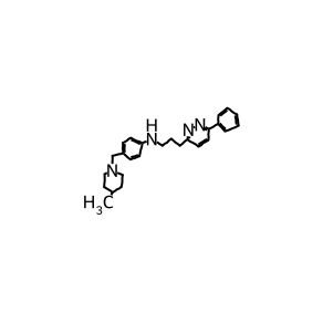 CC1CCN(Cc2ccc(NCCCc3ccc(-c4ccccc4)nn3)cc2)CC1